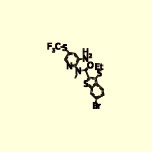 CCSc1c(C(=O)N(C)c2ncc(SC(F)(F)F)cc2N)sc2cc(Br)ccc12